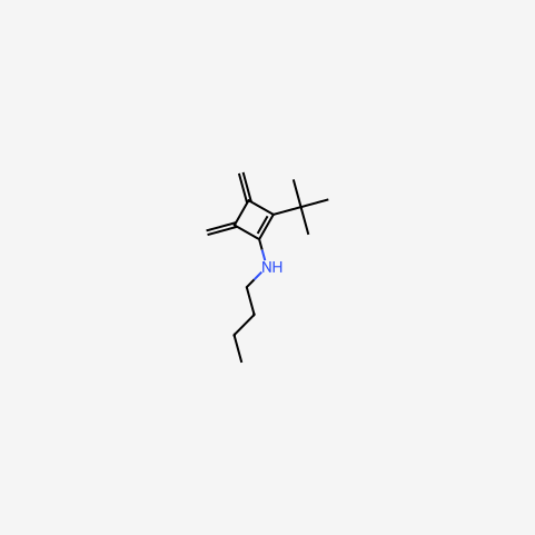 C=C1C(=C)C(C(C)(C)C)=C1NCCCC